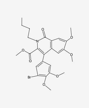 CCCCn1c(C(=O)OC)c(-c2cc(Br)c(OC)c(OC)c2)c2cc(OC)c(OC)cc2c1=O